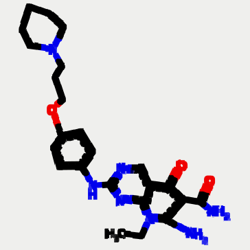 CCn1c(N)c(C(N)=O)c(=O)c2cnc(Nc3ccc(OCCCN4CCCCC4)cc3)nc21